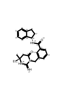 CC[C@@]1(C)CC(=O)N(Cc2cccc(C(=O)N[C@H]3CCc4ccccc43)c2)C(=N)N1